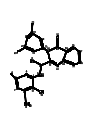 CCC(Nc1nc(C)nc(N)c1C#N)c1nc2ccccc2c(=O)n1-c1cc(F)cc(F)c1